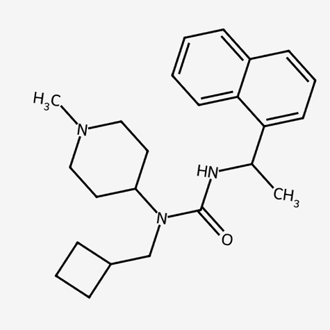 CC(NC(=O)N(CC1CCC1)C1CCN(C)CC1)c1cccc2ccccc12